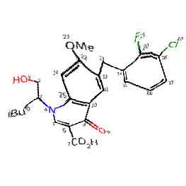 CCC(C)C(CO)n1cc(C(=O)O)c(=O)c2cc(Cc3cccc(Cl)c3F)c(OC)cc21